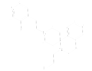 OCCN1CCc2ccccc2C12CCN(CCc1ccncc1F)CC2